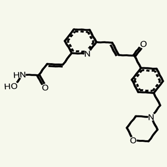 O=C(C=Cc1cccc(C=CC(=O)c2ccc(CN3CCOCC3)cc2)n1)NO